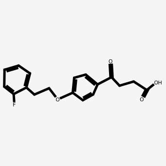 O=C(O)CCC(=O)c1ccc(OCCc2ccccc2F)cc1